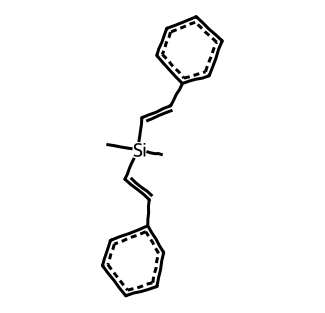 C[Si](C)(/C=C/c1ccccc1)/C=C/c1ccccc1